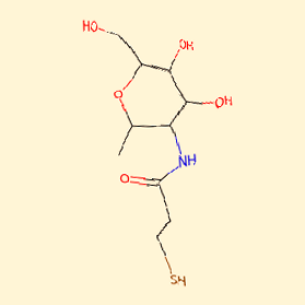 CC1OC(CO)C(O)C(O)C1NC(=O)CCS